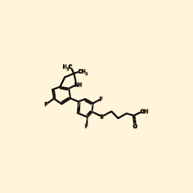 CC1(C)Cc2cc(F)cc(-c3cc(F)c(SCCCC(=O)O)c(F)c3)c2N1